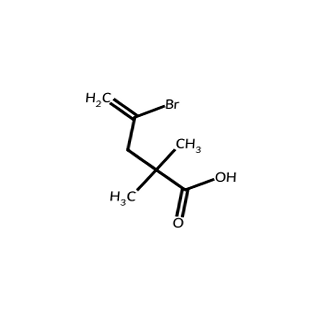 C=C(Br)CC(C)(C)C(=O)O